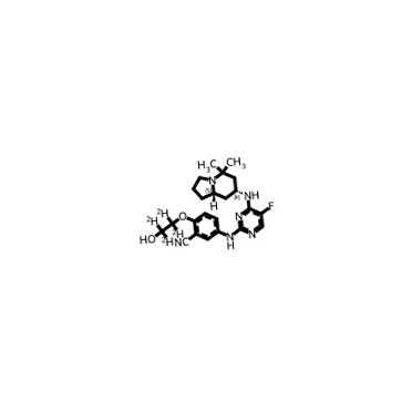 [2H]C([2H])(O)C([2H])([2H])Oc1ccc(Nc2ncc(F)c(N[C@@H]3C[C@@H]4CCCN4C(C)(C)C3)n2)cc1C#N